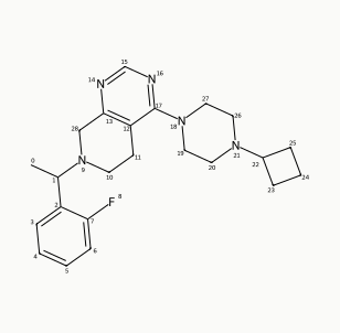 CC(c1ccccc1F)N1CCc2c(ncnc2N2CCN(C3CCC3)CC2)C1